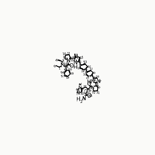 CCN(CC)[C@@H](C(=O)N1CCC[C@H]1c1ncc(-c2ccc(-c3ccc(-c4cnc([C@@H]5CCCN5C(=O)[C@](C)(Cc5cncn5C)OC(N)=O)[nH]4)cc3)cc2)[nH]1)c1ccccc1